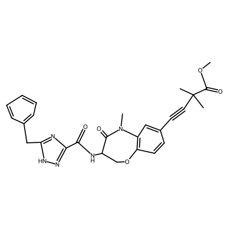 COC(=O)C(C)(C)C#Cc1ccc2c(c1)N(C)C(=O)C(NC(=O)c1n[nH]c(Cc3ccccc3)n1)CO2